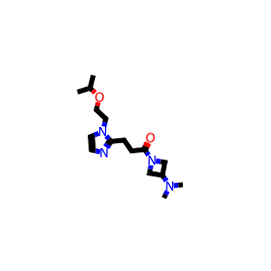 CC(C)OCCn1ccnc1CCC(=O)N1CC(N(C)C)C1